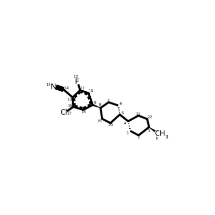 C[C@H]1CC[C@H]([C@H]2CC[C@H](c3cc(F)c(C#N)c(Cl)c3)CC2)CC1